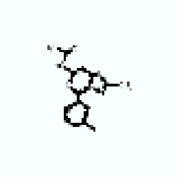 CC(=O)Nc1cc2nc(C)nn2c(-c2cccc(F)c2)n1